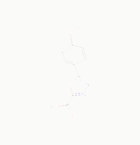 COc1ccc(-c2nnc(C(=O)O)o2)cc1